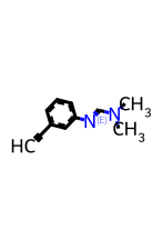 C#Cc1cccc(/N=C/N(C)C)c1